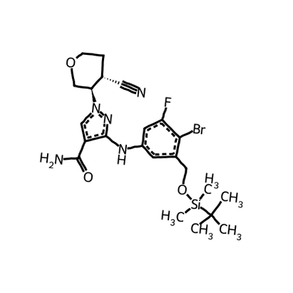 CC(C)(C)[Si](C)(C)OCc1cc(Nc2nn([C@H]3COCC[C@@H]3C#N)cc2C(N)=O)cc(F)c1Br